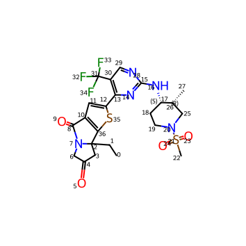 CCC12CC(=O)CN1C(=O)c1cc(-c3nc(N[C@H]4CCN(S(C)(=O)=O)C[C@H]4C)ncc3C(F)(F)F)sc12